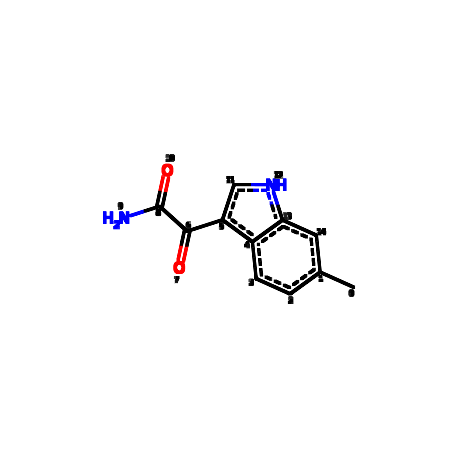 Cc1ccc2c(C(=O)C(N)=O)c[nH]c2c1